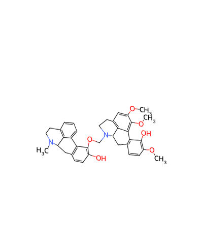 COc1ccc2c(c1O)-c1c(OC)c(OC)cc3c1C(C2)N(COc1c(O)ccc2c1-c1cccc4c1C(C2)N(C)CC4)CC3